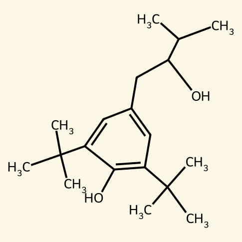 CC(C)C(O)Cc1cc(C(C)(C)C)c(O)c(C(C)(C)C)c1